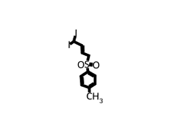 Cc1ccc(S(=O)(=O)CC=CC(I)I)cc1